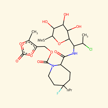 CCCC1(F)CCC(C(=O)NC(C(C)Cl)C2OC(SC)C(O)C(O)C2O)N(C(=O)OCc2oc(=O)oc2C)CC1